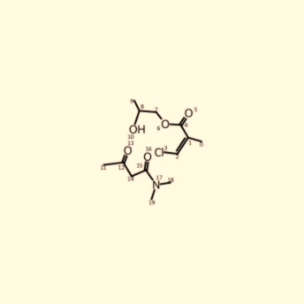 CC(=CCl)C(=O)OCC(C)O.CC(=O)CC(=O)N(C)C